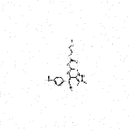 CSCCOC(=O)OC(C)O/C(=C(/C#N)c1ccc(C(C)(C)C)cc1)c1c(C)c(C)nn1C